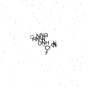 COc1nc(C(=O)NCc2cc(F)cc(-c3cnn(C)c3)c2)c2[nH]c(C3CCCC3)nc2n1